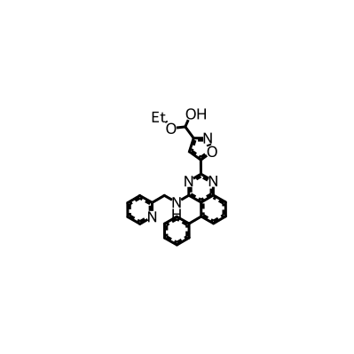 CCOC(O)c1cc(-c2nc(NCc3ccccn3)c3c(-c4ccccc4)cccc3n2)on1